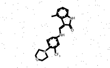 Cc1cccc2c1C(=CNc1ccc(N3CCOCC3)c(C(F)(F)F)c1)C(=O)N2